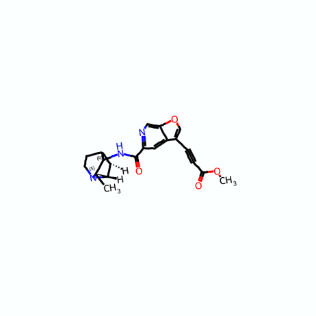 COC(=O)C#Cc1coc2cnc(C(=O)N[C@@H]3C4CCN(CC4)[C@H]3C)cc12